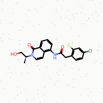 C[C@@H](CO)n1ccc2c(NC(=O)Cc3ccc(Cl)cc3F)cccc2c1=O